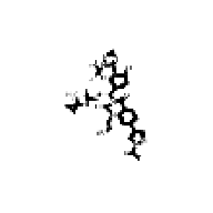 BC(B)(B)n1ncnc1-c1cc([C@@H](COC(=O)NC2(C)CC2)N(C(=N)NCCC(C)(C)C)C(=O)c2ccc(-c3cnn(C(F)F)c3)cc2)ccc1Cl